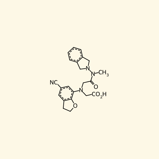 CN(C(=O)CN(CC(=O)O)c1cc(C#N)cc2c1OCC2)N1Cc2ccccc2C1